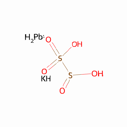 O=S(O)S(=O)(=O)O.[KH].[PbH2]